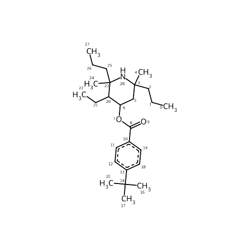 CCCC1(C)CC(OC(=O)c2ccc(C(C)(C)C)cc2)C(CC)C(C)(CCC)N1